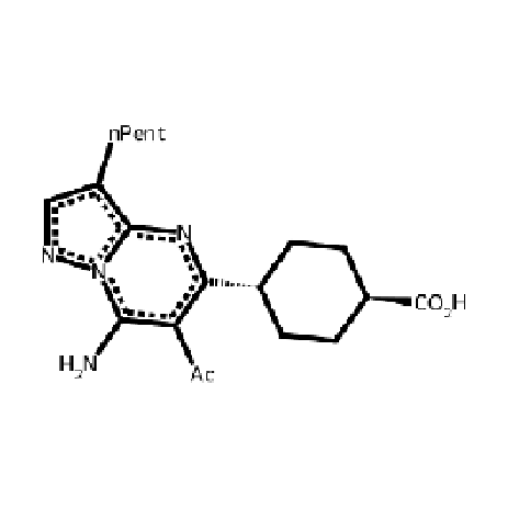 CCCCCc1cnn2c(N)c(C(C)=O)c([C@H]3CC[C@H](C(=O)O)CC3)nc12